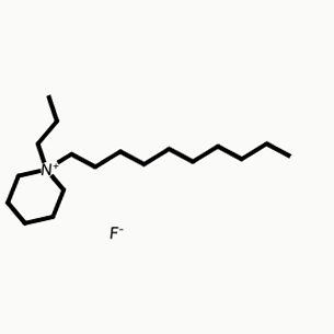 CCCCCCCCCC[N+]1(CCC)CCCCC1.[F-]